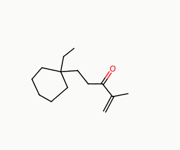 C=C(C)C(=O)CCC1(CC)CCCCC1